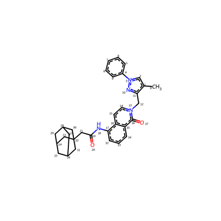 Cc1cn(-c2ccccc2)nc1Cn1ccc2c(NC(=O)CC34CC5CC(CC(C5)C3)C4)cccc2c1=O